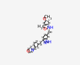 COc1ccc(NC(=O)[C@@H]2C[C@H]2c2ccc3c(/C=C/c4cccc(CN5CCOCC5)c4)n[nH]c3c2)c(C)c1